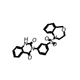 O=c1[nH]c2ccccc2c(=O)n1-c1cccc(S(=O)(=O)N2CCOCc3ccccc32)c1